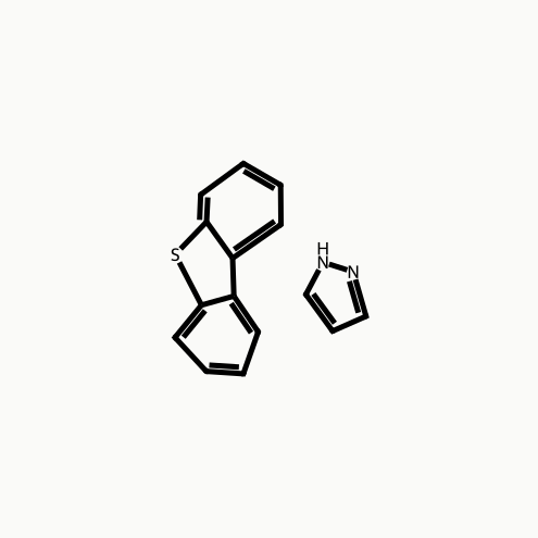 c1ccc2c(c1)sc1ccccc12.c1cn[nH]c1